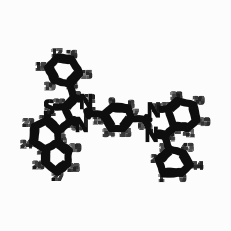 c1ccc(-c2nc(-c3ccc(-c4nc(-c5ccccc5)c5sc6ccc7ccccc7c6c5n4)cc3)nc3ccccc23)cc1